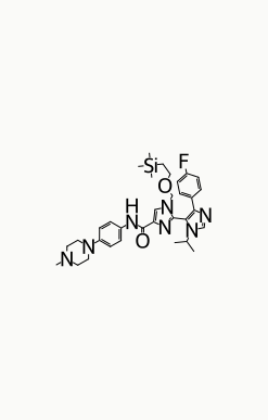 CC(C)n1cnc(-c2ccc(F)cc2)c1-c1nc(C(=O)Nc2ccc(N3CCN(C)CC3)cc2)cn1COCC[Si](C)(C)C